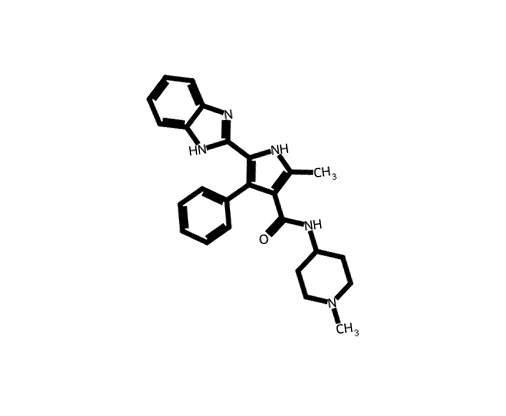 Cc1[nH]c(-c2nc3ccccc3[nH]2)c(-c2ccccc2)c1C(=O)NC1CCN(C)CC1